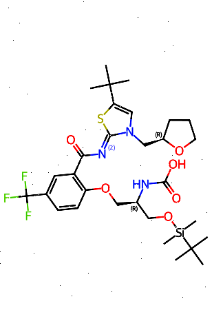 CC(C)(C)c1cn(C[C@H]2CCCO2)/c(=N/C(=O)c2cc(C(F)(F)F)ccc2OC[C@H](CO[Si](C)(C)C(C)(C)C)NC(=O)O)s1